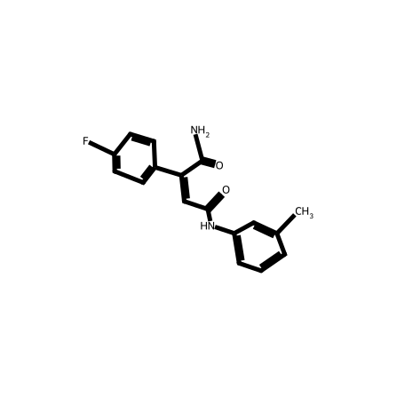 Cc1cccc(NC(=O)/C=C(\C(N)=O)c2ccc(F)cc2)c1